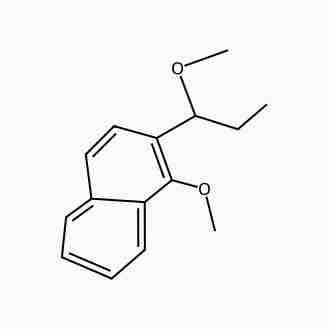 CCC(OC)c1ccc2ccccc2c1OC